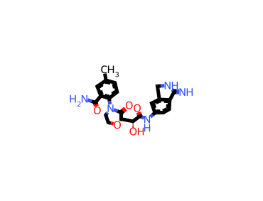 Cc1ccc(N2CCO[C@H]([C@@H](O)C(=O)Nc3ccc4c(c3)CNC4=N)C2=O)c(C(N)=O)c1